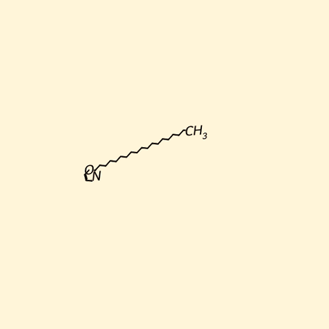 CCCCCCCCCCCCCCCCCCC1N=CC=CO1